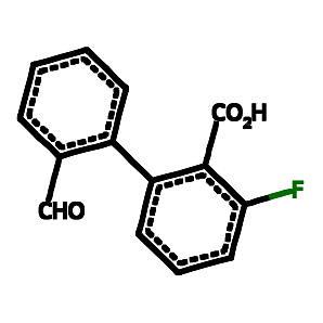 O=Cc1ccccc1-c1cccc(F)c1C(=O)O